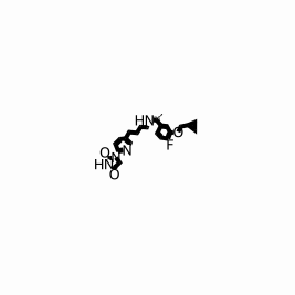 C[C@@H](NCCCCc1ccc(N2CC(=O)NC2=O)nc1)c1ccc(F)c(OCC2CC2)c1